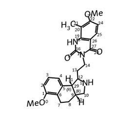 COc1cccc2c1CC[C@H]1CNC(CCn3c(=O)[nH]c4c(C)c(OC)ccc4c3=O)[C@@H]21